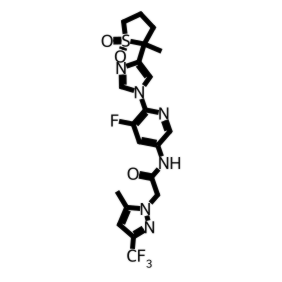 Cc1cc(C(F)(F)F)nn1CC(=O)Nc1cnc(-n2cnc(C3(C)CCCS3(=O)=O)c2)c(F)c1